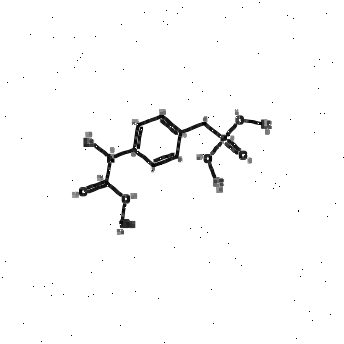 CCOP(=O)(Cc1ccc(N(CC)C(=O)OC(C)(C)C)cc1)OCC